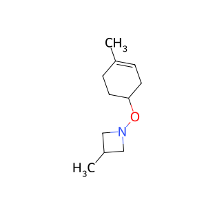 CC1=CCC(ON2CC(C)C2)CC1